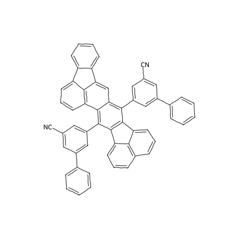 N#Cc1cc(-c2ccccc2)cc(-c2c3cc4c5ccccc5c5cccc(c3c(-c3cc(C#N)cc(-c6ccccc6)c3)c3c6cccc7cccc(c23)c76)c54)c1